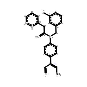 N=C/C(=C\N)c1ccc(N(Cc2cccc(Cl)c2)C(=O)Cc2cccnn2)cc1